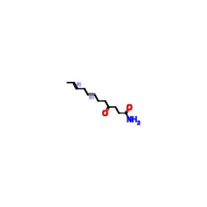 C/C=C/C/C=C/CCC(=O)CCC(N)=O